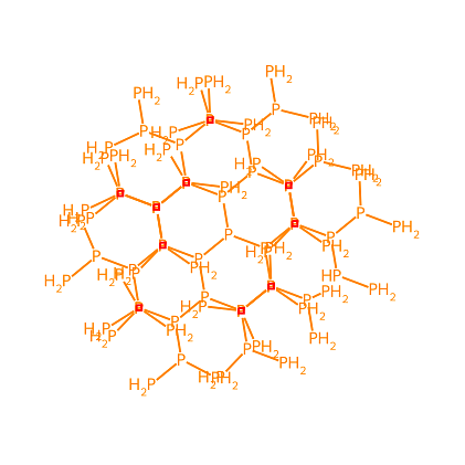 PPP(P(P)P)P(P(P)P)P(P(P(P)P)P(P)P)P(P(P(P(P(P)P)P(P)P)P(P(P)P)P(P)P)P(P(P(P)P)P(P)P)P(P(P)P)P(P)P)P(P(P(P(P)P)P(P)P)P(P(P)P)P(P)P)P(P(P(P)P)P(P)P)P(P(P)P)P(P)P